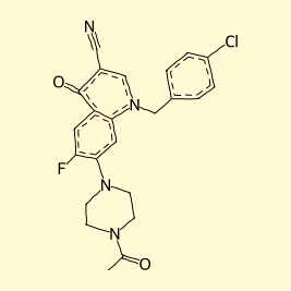 CC(=O)N1CCN(c2cc3c(cc2F)c(=O)c(C#N)cn3Cc2ccc(Cl)cc2)CC1